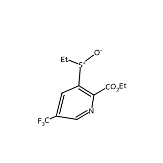 CCOC(=O)c1ncc(C(F)(F)F)cc1[S+]([O-])CC